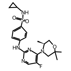 C[C@H]1COC(C)(C)CN1c1nc(Nc2ccc(S(=O)(=O)NC3CC3)cc2)ncc1F